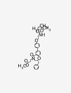 COC(=O)CCN1CC(Cc2ccccc2)Oc2ccc(-c3ccc(OCCNC(=O)OC(C)(C)C)cc3)cc2C1=O